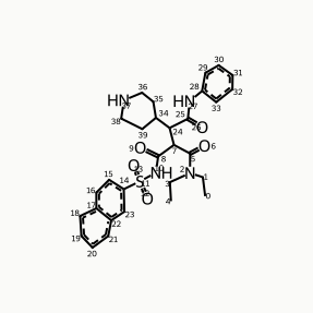 CCN(CC)C(=O)C(C(=O)NS(=O)(=O)c1ccc2ccccc2c1)C(C(=O)Nc1ccccc1)C1CCNCC1